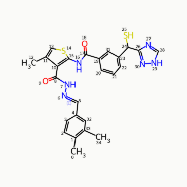 Cc1ccc(/C=N/NC(=O)c2c(C)csc2NC(=O)c2cccc(C(S)c3nc[nH]n3)c2)cc1C